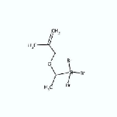 C=C(C)COC(C)[Si](Br)(Br)Br